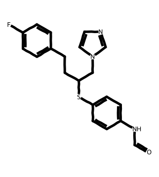 O=CNc1ccc(SC(CCc2ccc(F)cc2)Cn2ccnc2)cc1